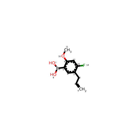 C=CCc1cc(B(O)O)c(OC)cc1F